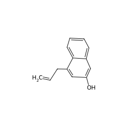 C=CCc1cc(O)cc2ccccc12